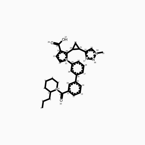 CCCC1CCCCN1C(=O)c1cccc(-c2cccc(-n3ccc(C(=O)O)c3C3CC3c3cn(C)nn3)c2)c1